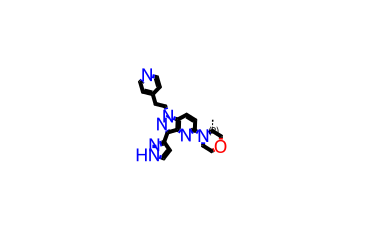 C[C@@H]1COCCN1c1ccc2c(n1)c(-c1cc[nH]n1)nn2CCc1ccncc1